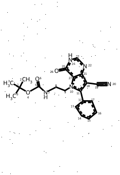 CC(C)(C)OC(=O)NCCn1c(-c2ccccc2)c(C#N)c2nc[nH]c(=O)c21